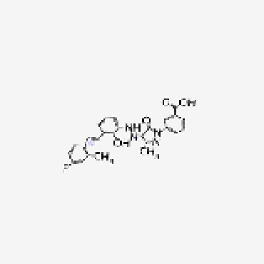 CC1=NN(c2cccc(C(=O)O)c2)C(=O)/C1=N\Nc1cccc(/C=C/c2ccc(F)cc2C)c1O